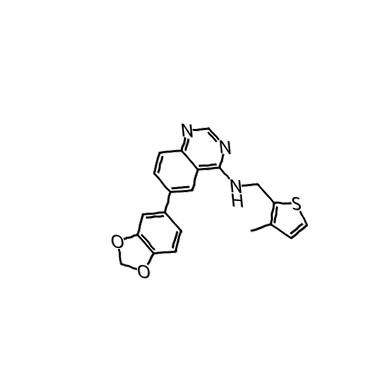 Cc1ccsc1CNc1ncnc2ccc(-c3ccc4c(c3)OCO4)cc12